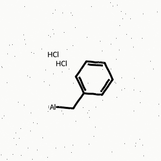 Cl.Cl.[Al][CH2]c1ccccc1